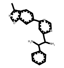 Cc1noc2cc(-c3cc(C(N)C(N)c4ccccc4)ncn3)ccc12